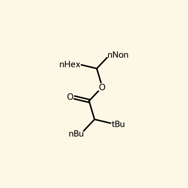 CCCCCCCCCC(CCCCCC)OC(=O)C(CCCC)C(C)(C)C